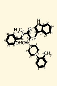 Cc1ccccc1N1CCN(N(C=O)[C@@H](Cc2c[nH]c3ccccc23)C(=O)N(C)Cc2ccccc2)CC1